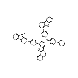 CC1(C)c2ccccc2-c2ccc(-c3ccc(-c4cc(N(c5ccc(-c6ccccc6)cc5)c5ccc(-c6cccc7c6sc6ccccc67)cc5)cc5c4oc4c6ccccc6ccc54)cc3)cc21